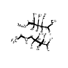 COCC(F)(F)C(F)(F)C(F)(F)C(F)F.FC(F)C(F)(F)C(F)(F)COCC(F)(F)F